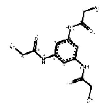 CC(=O)CC(=O)Nc1cc(NC(=O)CC(C)=O)cc(NC(=O)CC(C)=O)c1